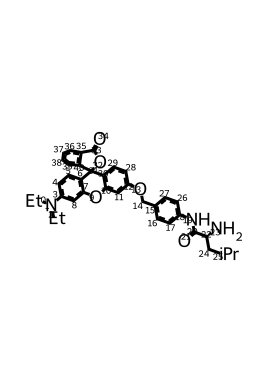 CCN(CC)c1ccc2c(c1)Oc1cc(OCc3ccc(NC(=O)[C@@H](N)CC(C)C)cc3)ccc1C21OC(=O)c2ccccc21